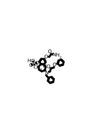 CS(=O)(=O)O.NC(=O)COc1ccc2c(c1)CC(N(Cc1ccccc1)C[C@H](O)COc1ccccc1)CCC2